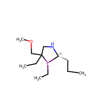 CCC[C@H]1NCC(CC)(COC)P1CC